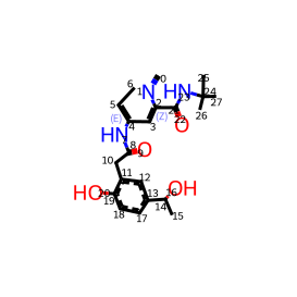 C=N/C(=C\C(=C/C)NC(=O)Cc1cc(C(C)O)ccc1O)C(=O)NC(C)(C)C